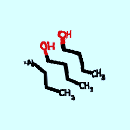 CCCCO.CCCCO.CC[CH2][Al]